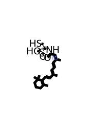 CC(C=CC1=C(C)CCCC1(C)C)=CC=C/C(C)=C\C(=O)N[C@@H](CS)S(=O)O